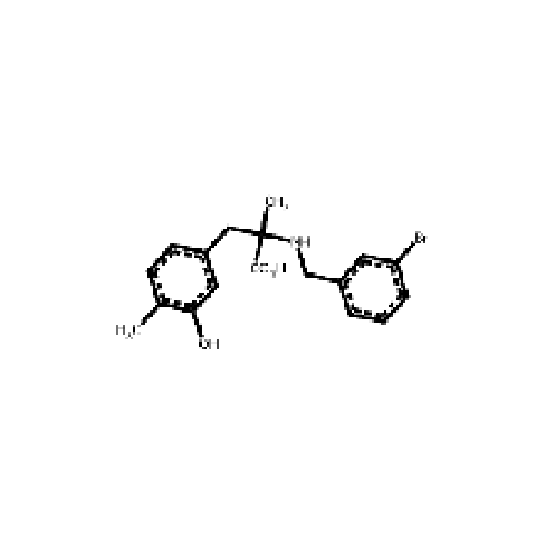 Cc1ccc(CC(C)(NCc2cccc(Br)c2)C(=O)O)cc1O